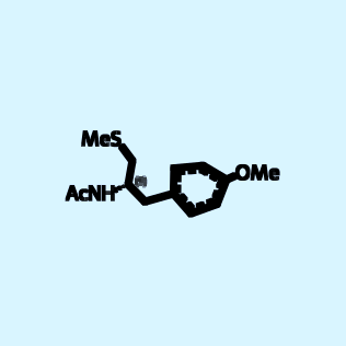 COc1ccc(C[C@@H](CSC)NC(C)=O)cc1